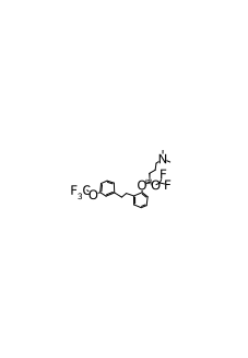 CN(C)CCC[C@H](Oc1ccccc1CCc1cccc(OC(F)(F)F)c1)OC(F)F